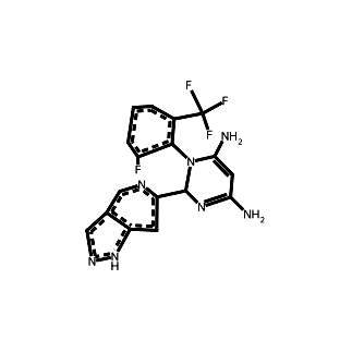 NC1=CC(N)=NC(c2cc3[nH]ncc3cn2)N1c1c(F)cccc1C(F)(F)F